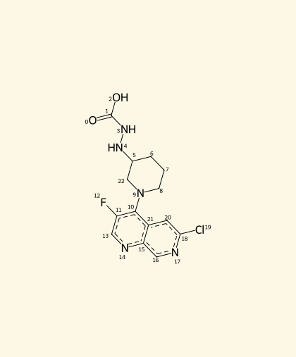 O=C(O)NNC1CCCN(c2c(F)cnc3cnc(Cl)cc23)C1